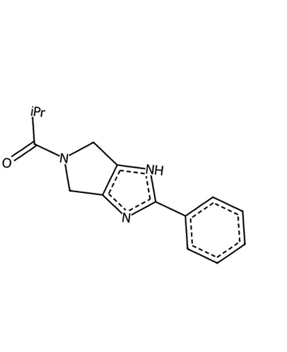 CC(C)C(=O)N1Cc2nc(-c3ccccc3)[nH]c2C1